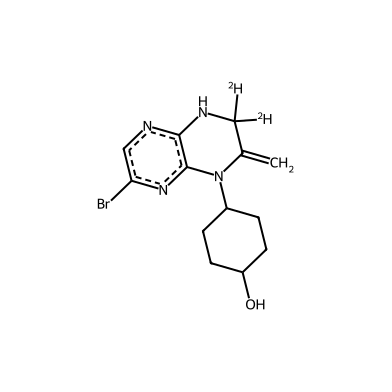 [2H]C1([2H])Nc2ncc(Br)nc2N(C2CCC(O)CC2)C1=C